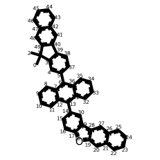 CC1(C)c2cc(-c3c4ccccc4c(-c4ccc5oc6cc7ccccc7cc6c5c4)c4ccccc34)ccc2-c2cc3ccccc3cc21